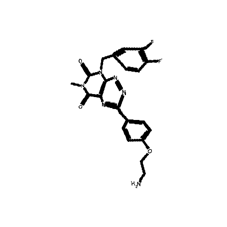 Cn1c(=O)c2nc(-c3ccc(OCCN)cc3)nnc2n(Cc2ccc(F)c(F)c2)c1=O